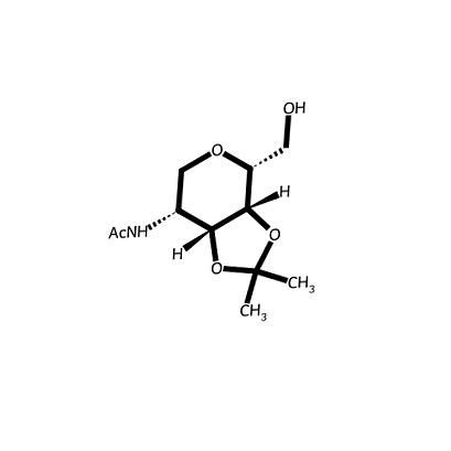 CC(=O)N[C@@H]1CO[C@H](CO)[C@@H]2OC(C)(C)O[C@@H]21